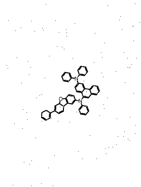 C1=CCCC(C2=CC3Oc4ccc(N(c5ccccc5)c5cc6ccccc6c6cc(N(c7ccccc7)c7ccccc7)ccc56)cc4C3C=C2)=C1